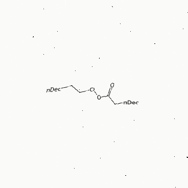 CCCCCCCCCCCCOOC(=O)CCCCCCCCCCC